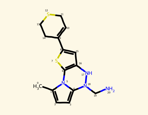 Cc1ccc2n1-c1sc(C3=CCSCC3)cc1NN2CN